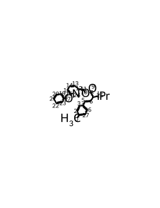 Cc1ccc(C=CC(C(=O)OCc2cccc(Oc3ccccc3)n2)C(C)C)cc1